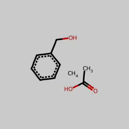 C.CC(=O)O.OCc1ccccc1